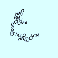 COc1cc(OC2CC(N3CCOC4(CCN(c5ccc(C(=O)NC6C(C)(C)C(Oc7cc(C)c(C#N)c(C)c7)C6(C)C)cc5)CC4)C3)C2)cc2c1C(=O)N([C@@H]1CCC(=O)NC1=O)C2=O